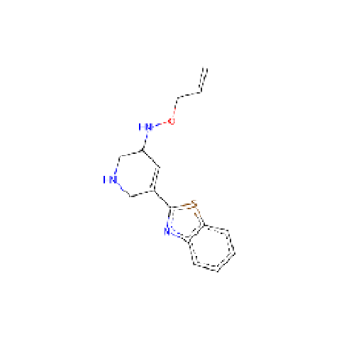 C=CCONC1C=C(c2nc3ccccc3s2)CNC1